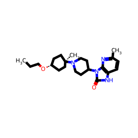 CCCO[C@H]1CC[C@](C)(N2CCC(n3c(=O)[nH]c4ccc(C)nc43)CC2)CC1